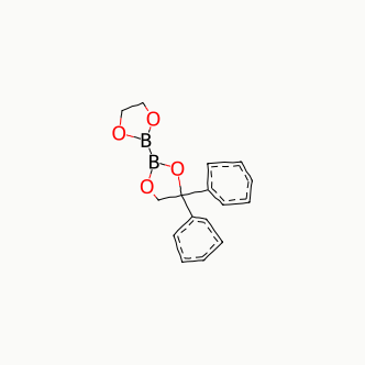 c1ccc(C2(c3ccccc3)COB(B3OCCO3)O2)cc1